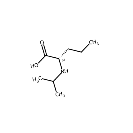 CCC[C@H](NC(C)C)C(=O)O